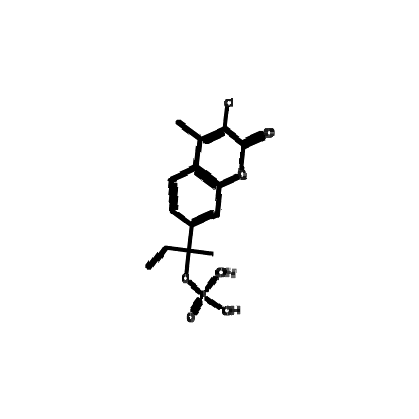 CCC(C)(OP(=O)(O)O)c1ccc2c(C)c(Cl)c(=O)oc2c1